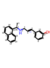 C[C@@H](NC/C=C/c1cccc(O)c1)c1cccc2ccccc12